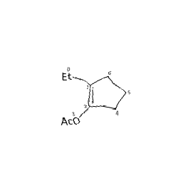 CCC1=C(OC(C)=O)CCC1